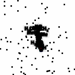 COc1cc(-c2cn(C)c(=O)c3cnc(N4CC(C)C4)cc23)cc(OC)c1CN1Cc2ccc(-c3cccc4c3n(C)c(=O)n4C3CCC(=O)NC3=O)cc2C2(CC2)C1